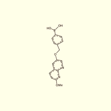 COc1ccc2cc(OCc3ccc(B(O)O)cc3)cnc2n1